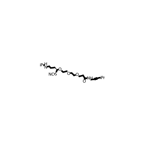 CC(C)C#CCNC(=O)CCOCCOCCO[C@H](CCCNC(C)C)SC#N